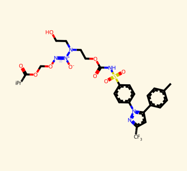 Cc1ccc(-c2cc(C(F)(F)F)nn2-c2ccc(S(=O)(=O)NC(=O)OCCN(CCO)/[N+]([O-])=N/OCOC(=O)C(C)C)cc2)cc1